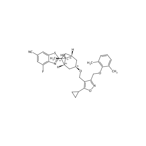 Cc1cccc(C)c1OCc1noc(C2CC2)c1CO[C@@H]1C[C@H]2C[C@H](C)[C@@H](C1)[C@]2(O)c1nc2c(F)cc(C#N)cc2s1